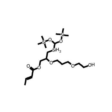 CC=CC(=O)OCC(C[SiH2]C(O[Si](C)(C)C)O[Si](C)(C)C)OCCCOCCO